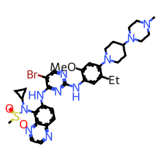 CCc1cc(Nc2ncc(Br)c(Nc3ccc4nccnc4c3N(C3CC3)S(C)(=O)=O)n2)c(OC)cc1N1CCC(N2CCN(C)CC2)CC1